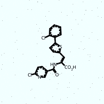 O=C(O)/C(=C/c1ccc(-c2ccccc2Cl)s1)NC(=O)c1ccc(Cl)nc1